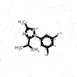 Cc1nc(C(C)C)n(-c2cc(F)cc(F)c2)n1